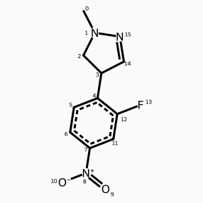 CN1CC(c2ccc([N+](=O)[O-])cc2F)C=N1